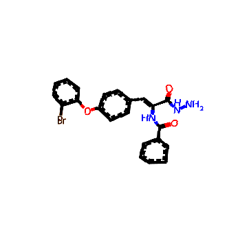 NNC(=O)C(=Cc1ccc(Oc2ccccc2Br)cc1)NC(=O)c1ccccc1